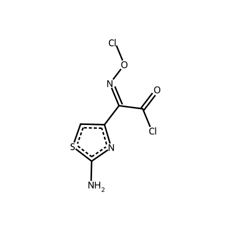 Nc1nc(C(=NOCl)C(=O)Cl)cs1